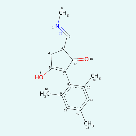 C/N=C/C1CC(O)=C(c2c(C)cc(C)cc2C)C1=O